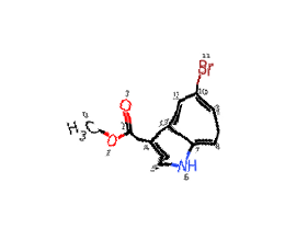 COC(=O)c1[c][nH]c2ccc(Br)cc12